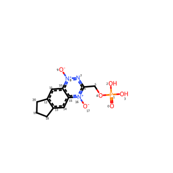 O=P(O)(O)OCc1n[n+]([O-])c2cc3c(cc2[n+]1[O-])CCC3